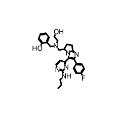 CCCNc1nccc(-c2c(-c3ccc(F)cc3)nc3n2C(CN(CCO)Cc2ccccc2O)CC3)n1